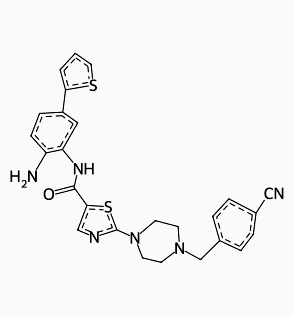 N#Cc1ccc(CN2CCN(c3ncc(C(=O)Nc4cc(-c5cccs5)ccc4N)s3)CC2)cc1